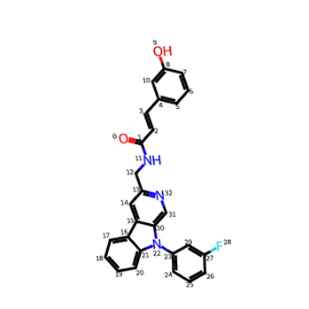 O=C(/C=C/c1cccc(O)c1)NCc1cc2c3ccccc3n(-c3cccc(F)c3)c2cn1